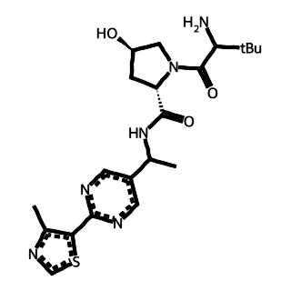 Cc1ncsc1-c1ncc(C(C)NC(=O)[C@@H]2C[C@@H](O)CN2C(=O)C(N)C(C)(C)C)cn1